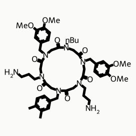 CCCCN1CC(=O)N(Cc2ccc(OC)c(OC)c2)CC(=O)N(CCCN)CC(=O)N(Cc2ccc(C)c(C)c2)CC(=O)N(CCCN)CC(=O)N(Cc2ccc(OC)c(OC)c2)CC1=O